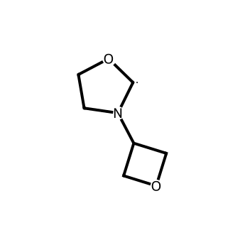 [CH]1OCCN1C1COC1